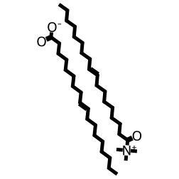 CCCCCCCCC=CCCCCCCCC(=O)[N+](C)(C)C.CCCCCCCCC=CCCCCCCCC(=O)[O-]